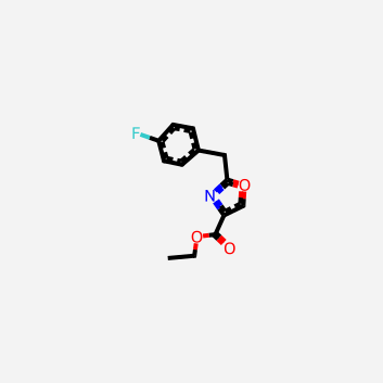 CCOC(=O)c1coc(Cc2ccc(F)cc2)n1